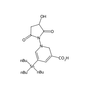 CCC[CH2][Sn]([CH2]CCC)([CH2]CCC)[C]1=CN(N2C(=O)CC(O)C2=O)CC(C(=O)O)=C1